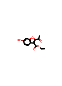 CCOC(=O)c1c(C(C)=O)oc2cc(O)ccc12